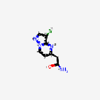 NC(=O)Cc1ccn2ncc(Br)c2n1